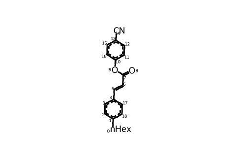 CCCCCCc1ccc(C=CC(=O)Oc2ccc(C#N)cc2)cc1